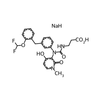 Cn1ccc(O)c(N(C(=O)NCCC(=O)O)c2cccc(Cc3ccccc3OC(F)F)c2)c1=O.[NaH]